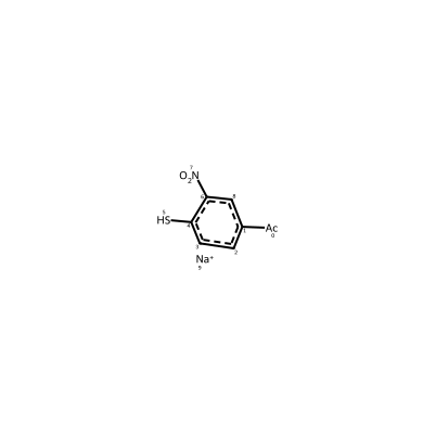 CC(=O)c1ccc(S)c([N+](=O)[O-])c1.[Na+]